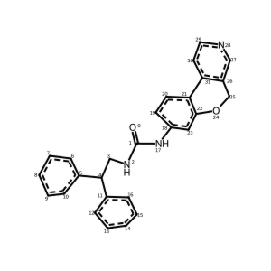 O=C(NCC(c1ccccc1)c1ccccc1)Nc1ccc2c(c1)OCc1cnccc1-2